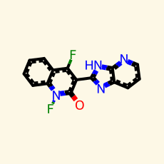 O=c1c(-c2nc3cccnc3[nH]2)c(F)c2ccccc2n1F